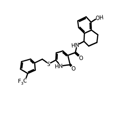 O=C(NC1CCCc2c(O)cccc21)c1ccc(SCc2cccc(C(F)(F)F)c2)[nH]c1=O